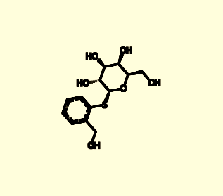 OCc1ccccc1S[C@@H]1O[C@H](CO)[C@H](O)[C@H](O)[C@H]1O